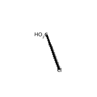 O=C(O)CCCCCCCCCCC=CCCCCCCCCCCC=CCCCCCCCCCCCCl